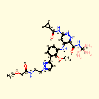 BC(B)(B)NC(=O)c1nnc(NC(=O)C2CC2)cc1Nc1cccc(-c2ccn(CCNC(=O)COC)n2)c1OC